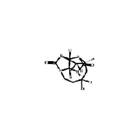 CC[C@@H]1CCN2C(=O)N3[C@H]4[C@@H]2N(C)C(=O)N4[C@@](C)(C1)[C@@H]3C